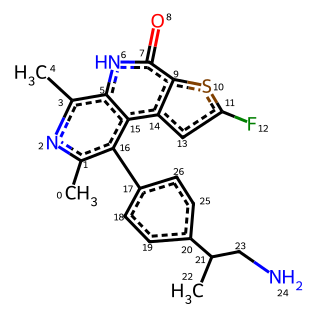 Cc1nc(C)c2[nH]c(=O)c3sc(F)cc3c2c1-c1ccc(C(C)CN)cc1